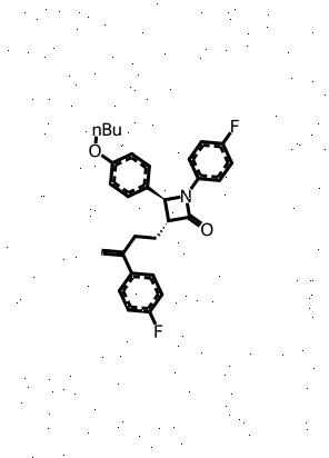 C=C(CC[C@H]1C(=O)N(c2ccc(F)cc2)[C@@H]1c1ccc(OCCCC)cc1)c1ccc(F)cc1